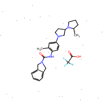 Cc1cc(N2CCC(N3CCCC3C)C2)ccc1NC(=O)N1Cc2ccccc2C1.O=C(O)C(F)(F)F